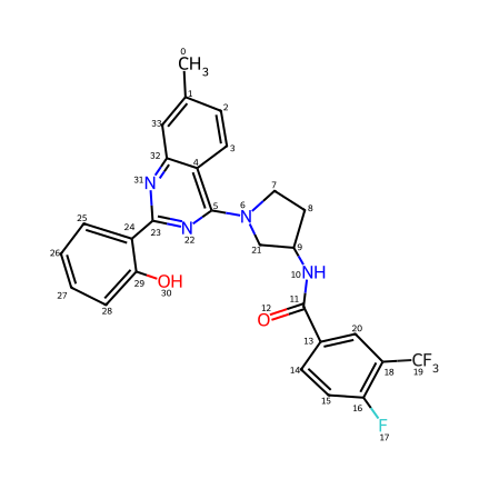 Cc1ccc2c(N3CCC(NC(=O)c4ccc(F)c(C(F)(F)F)c4)C3)nc(-c3ccccc3O)nc2c1